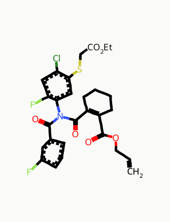 C=CCOC(=O)C1=C(C(=O)N(C(=O)c2cccc(F)c2)c2cc(SCC(=O)OCC)c(Cl)cc2F)CCCC1